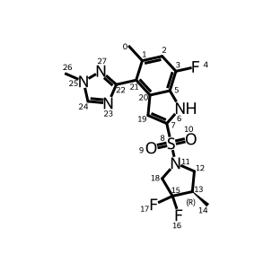 Cc1cc(F)c2[nH]c(S(=O)(=O)N3C[C@@H](C)C(F)(F)C3)cc2c1-c1ncn(C)n1